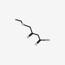 CCOCC(=O)CC(=O)O